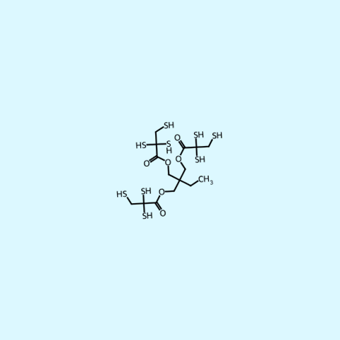 CCC(COC(=O)C(S)(S)CS)(COC(=O)C(S)(S)CS)COC(=O)C(S)(S)CS